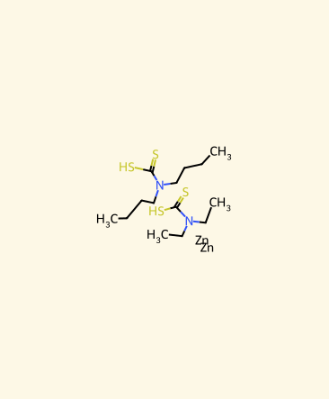 CCCCN(CCCC)C(=S)S.CCN(CC)C(=S)S.[Zn].[Zn]